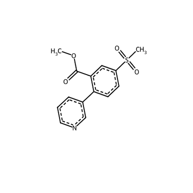 COC(=O)c1cc(S(C)(=O)=O)ccc1-c1cccnc1